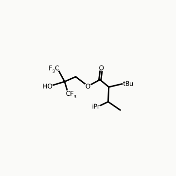 CC(C)C(C)C(C(=O)OCC(O)(C(F)(F)F)C(F)(F)F)C(C)(C)C